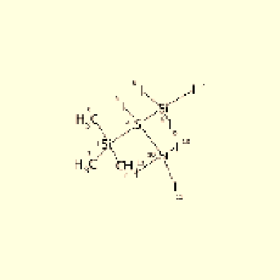 C[Si](C)(C)[Si](I)([Si](I)(I)I)[Si](I)(I)I